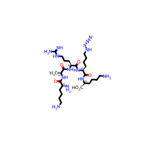 C[C@H](NC(=O)[C@@H](N)CCCCN)C(=O)N[C@@H](CCCNC(=N)N)C(=O)N[C@@H](CCCCNN=[N+]=[N-])C(=O)N[C@@H](CCCCN)C(=O)O